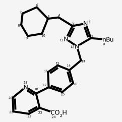 CCCCc1nc(CC2CCCCC2)nn1Cc1ccc(-c2ncccc2C(=O)O)cc1